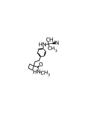 CNC(=O)C1(CCc2ccc(NC(C)(C)C#N)cc2)CCC1